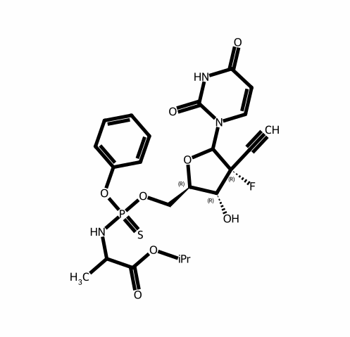 C#C[C@]1(F)C(n2ccc(=O)[nH]c2=O)O[C@H](COP(=S)(NC(C)C(=O)OC(C)C)Oc2ccccc2)[C@H]1O